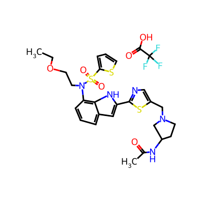 CCOCCN(c1cccc2cc(-c3ncc(CN4CCC(NC(C)=O)C4)s3)[nH]c12)S(=O)(=O)c1cccs1.O=C(O)C(F)(F)F